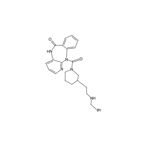 CC(C)CNCCC1CCCN(C(=O)N2c3ccccc3C(=O)Nc3cccnc32)C1